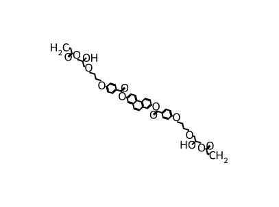 C=CC(=O)OCC(O)COCCCCOc1ccc(C(=O)Oc2ccc3c(ccc4cc(OC(=O)c5ccc(OCCCCOCC(O)COC(=O)C=C)cc5)ccc43)c2)cc1